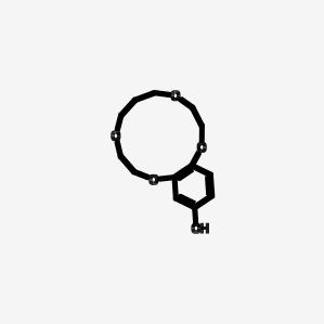 Oc1ccc2c(c1)OCCOCCCOCCO2